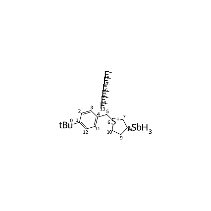 CC(C)(C)c1ccc(C[S+]2CCCC2)cc1.[F-].[F-].[F-].[F-].[F-].[F-].[SbH3]